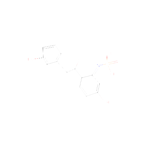 O=P(O)(O)/N=C1\C=C(O)C=CC1C(O)Cc1cccc(O)c1